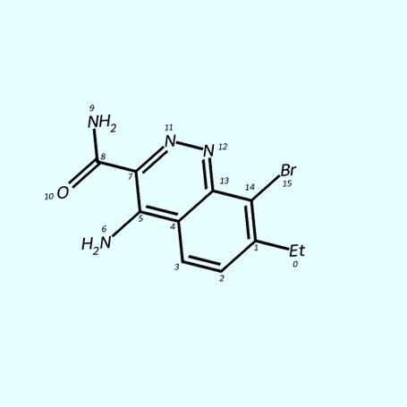 CCc1ccc2c(N)c(C(N)=O)nnc2c1Br